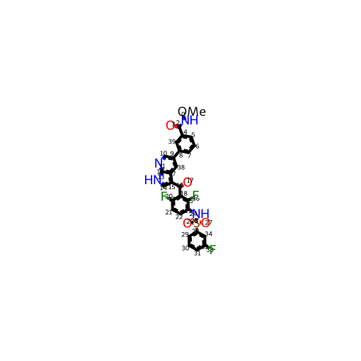 CONC(=O)c1cccc(-c2cnc3[nH]cc(C(=O)c4c(F)ccc(NS(=O)(=O)c5cccc(F)c5)c4F)c3c2)c1